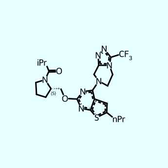 CCCc1cc2c(N3CCn4c(nnc4C(F)(F)F)C3)nc(OC[C@@H]3CCCN3C(=O)C(C)C)nc2s1